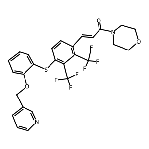 O=C(/C=C/c1ccc(Sc2ccccc2OCc2cccnc2)c(C(F)(F)F)c1C(F)(F)F)N1CCOCC1